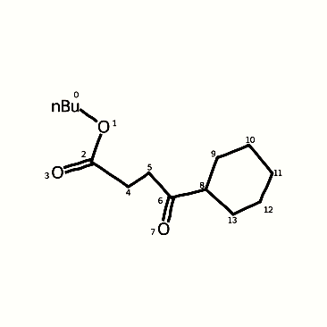 CCCCOC(=O)CCC(=O)C1CCCCC1